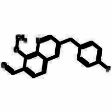 COc1c(C=O)ccc2cc(Cc3ccc(F)cc3)cnc12